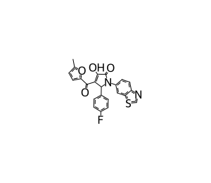 Cc1ccc(C(=O)C2=C(O)C(=O)N(c3ccc4ncsc4c3)C2c2ccc(F)cc2)o1